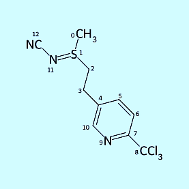 CS(CCc1ccc(C(Cl)(Cl)Cl)nc1)=NC#N